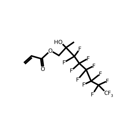 C=CC(=O)OCC(C)(O)C(F)(F)C(F)(F)C(F)(F)C(F)(F)C(F)(F)C(F)(F)F